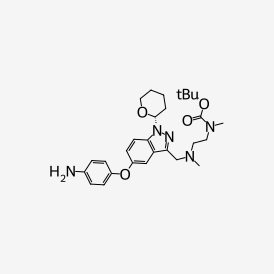 CN(CCN(C)C(=O)OC(C)(C)C)Cc1nn([C@H]2CCCCO2)c2ccc(Oc3ccc(N)cc3)cc12